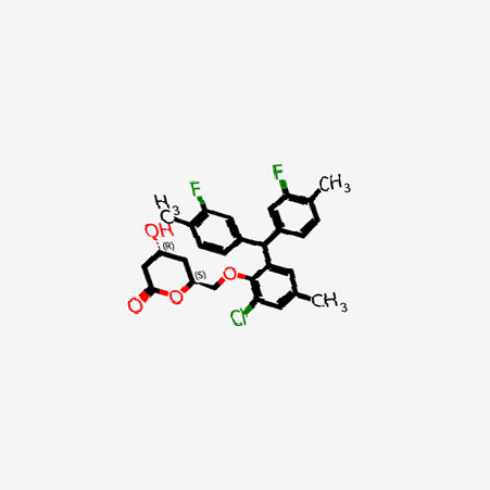 Cc1cc(Cl)c(OC[C@@H]2C[C@@H](O)CC(=O)O2)c(C(c2ccc(C)c(F)c2)c2ccc(C)c(F)c2)c1